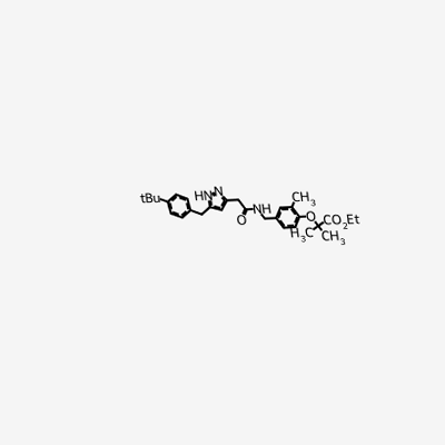 CCOC(=O)C(C)(C)Oc1ccc(CNC(=O)Cc2cc(Cc3ccc(C(C)(C)C)cc3)[nH]n2)cc1C